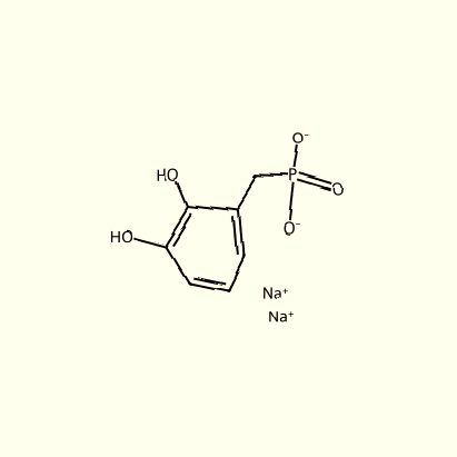 O=P([O-])([O-])Cc1cccc(O)c1O.[Na+].[Na+]